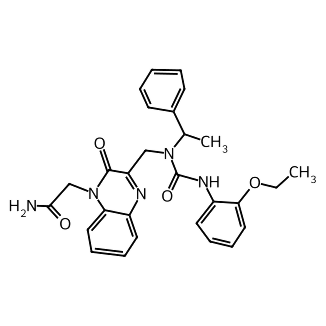 CCOc1ccccc1NC(=O)N(Cc1nc2ccccc2n(CC(N)=O)c1=O)C(C)c1ccccc1